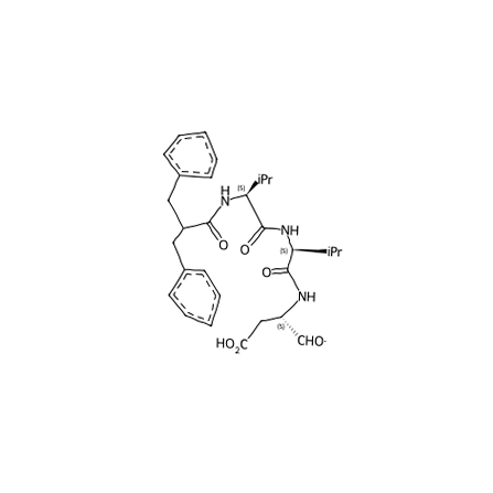 CC(C)[C@H](NC(=O)C(Cc1ccccc1)Cc1ccccc1)C(=O)N[C@H](C(=O)N[C@H]([C]=O)CC(=O)O)C(C)C